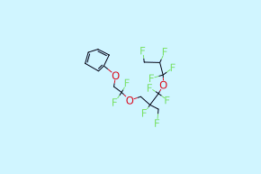 FCC(F)C(F)(F)OC(F)(F)C(F)(CF)COC(F)(F)COc1ccccc1